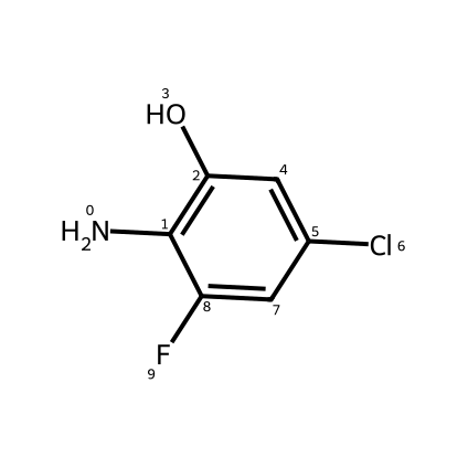 Nc1c(O)cc(Cl)cc1F